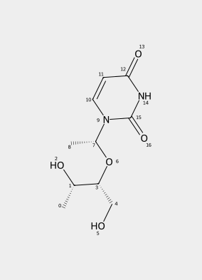 C[C@H](O)[C@@H](CO)O[C@H](C)n1ccc(=O)[nH]c1=O